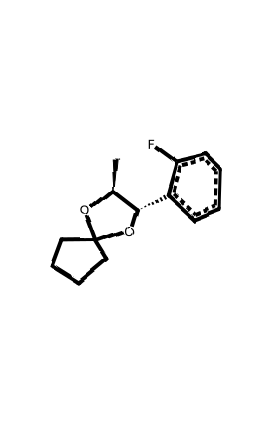 [CH2][C@@H]1OC2(CCCC2)O[C@H]1c1ccccc1F